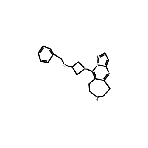 c1ccc(COC2CN(c3c4c(nc5ccnn35)CCNCC4)C2)cc1